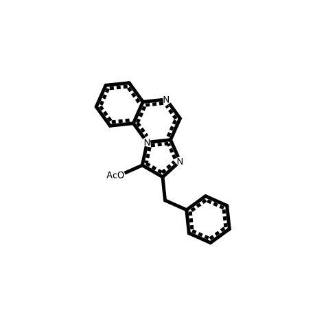 CC(=O)Oc1c(Cc2ccccc2)nc2cnc3ccccc3n12